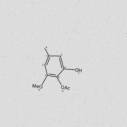 COc1cc(C)cc(O)c1OC(C)=O